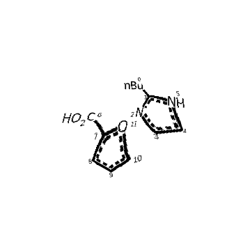 CCCCc1ncc[nH]1.O=C(O)c1ccco1